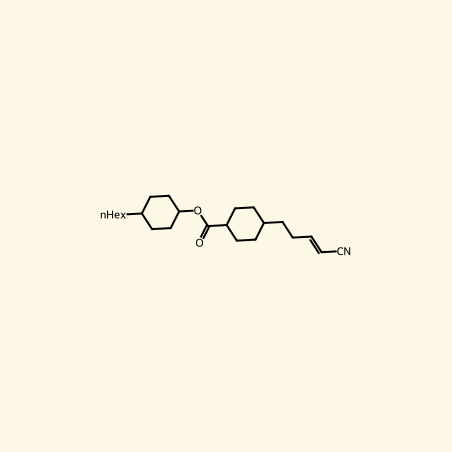 CCCCCCC1CCC(OC(=O)C2CCC(CC/C=C/C#N)CC2)CC1